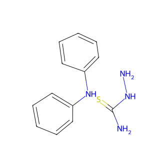 NNC(N)=S.c1ccc(Nc2ccccc2)cc1